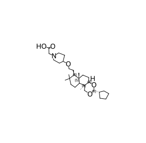 CC1(C)CCC2[C@]3(C)CO[C@@H](C4CCCC4)O[C@@H]3CC[C@@]2(C)[C@@H]1CCOC1CCN(CC(=O)O)CC1